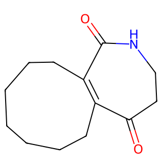 O=C1CCNC(=O)C2=C1CCCCCCC2